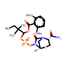 COc1cccc(OC)c1C(=O)OC(OS(=O)(=O)ON1C(=O)N2C[C@H]1CC[C@H]2C(N)=O)C(C)(C)CC(C)(C)C